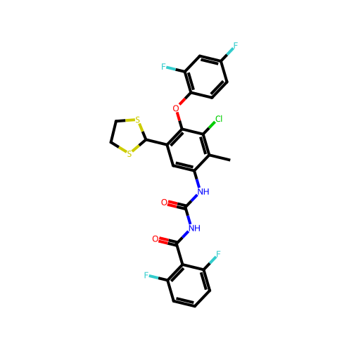 Cc1c(NC(=O)NC(=O)c2c(F)cccc2F)cc(C2SCCS2)c(Oc2ccc(F)cc2F)c1Cl